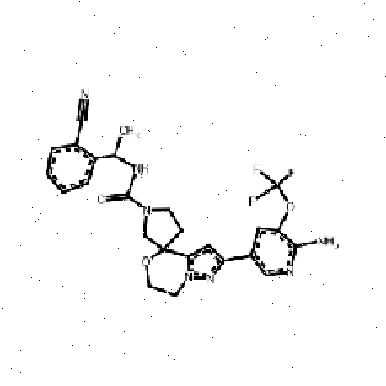 C[C@@H](NC(=O)N1CCC2(C1)OCCn1nc(-c3cnc(N)c(OC(F)(F)F)c3)cc12)c1ccccc1C#N